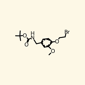 COc1cc(CNC(=O)OC(C)(C)C)ccc1OCCBr